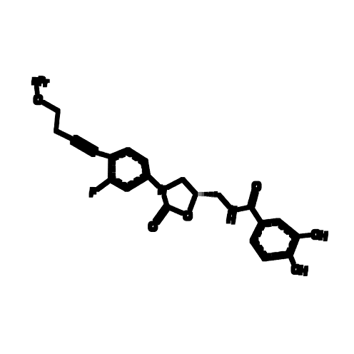 CCCOCCC#Cc1ccc(N2C[C@H](CNC(=O)c3ccc(O)c(O)c3)OC2=O)cc1F